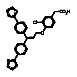 O=C(O)Cc1ccc(OCC=C(c2ccc(-c3cccs3)cc2)c2ccc(-c3cccs3)cc2)c(Cl)c1